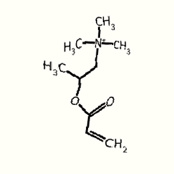 C=CC(=O)OC(C)C[N+](C)(C)C